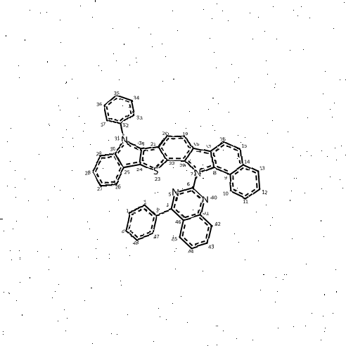 c1ccc(-c2nc(-n3c4c5ccccc5ccc4c4ccc5c(sc6c7ccccc7n(-c7ccccc7)c56)c43)nc3ccccc23)cc1